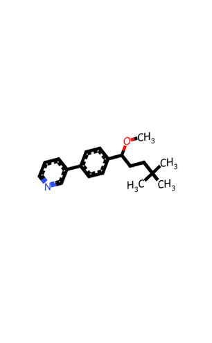 COC(CCC(C)(C)C)c1ccc(-c2cccnc2)cc1